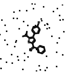 CN(C)c1sc(C(=O)c2ccccc2)cc1-c1ccc(F)cc1